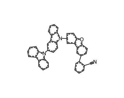 N#Cc1ccccc1-c1ccc2oc3ccc(-n4c5ccccc5c5cc(-n6c7ccccc7c7ccccc76)ccc54)cc3c2c1